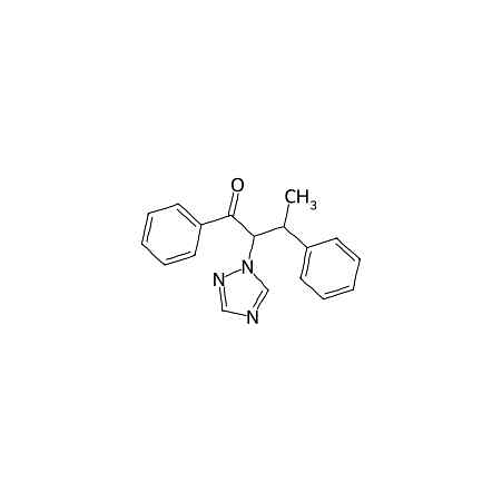 CC(c1ccccc1)C(C(=O)c1ccccc1)n1cncn1